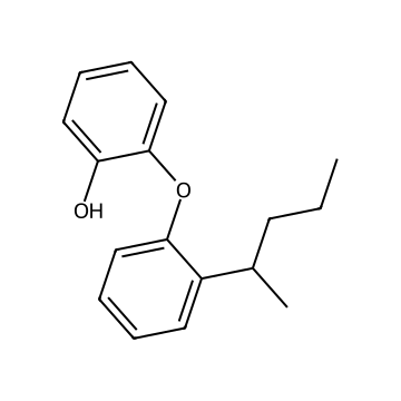 CCCC(C)c1ccccc1Oc1ccccc1O